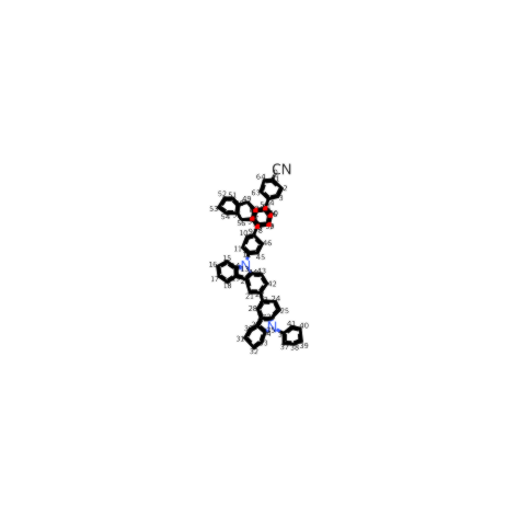 N#Cc1ccc(-c2ccc(-c3ccc(-n4c5ccccc5c5cc(-c6ccc7c(c6)c6ccccc6n7-c6ccccc6)ccc54)cc3)c3c2C2c4ccccc4C3c3ccccc32)cc1